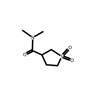 CN(C)C(=O)C1CCS(=O)(=O)C1